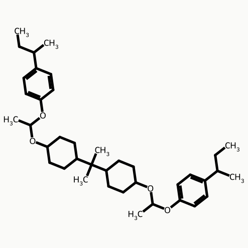 CCC(C)c1ccc(OC(C)OC2CCC(C(C)(C)C3CCC(OC(C)Oc4ccc(C(C)CC)cc4)CC3)CC2)cc1